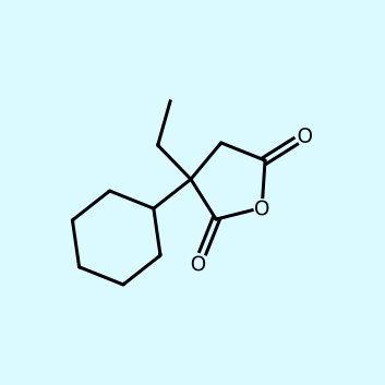 CCC1(C2CCCCC2)CC(=O)OC1=O